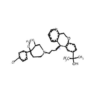 COC1(c2ccc(Cl)cc2)CCN(CC/C=C2/c3cc(C(C)(C)O)ccc3OCc3ncccc32)CC1O